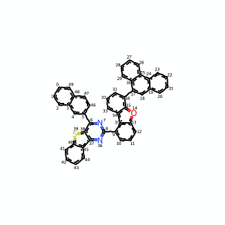 c1ccc2cc(-c3nc(-c4cccc5oc6c(-c7cc8ccccc8c8ccccc78)cccc6c45)nc4c3sc3ccccc34)ccc2c1